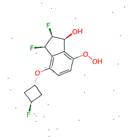 OOc1ccc(O[C@H]2C[C@H](F)C2)c2c1[C@H](O)[C@H](F)[C@@H]2F